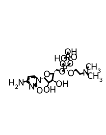 CN(C)CCOP(=O)(OC[C@H]1O[C@@H](n2ccc(N)nc2=O)[C@H](O)[C@@H]1O)OP(=O)(O)O